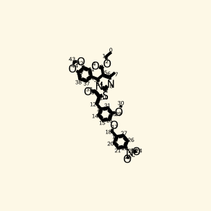 CCOC(=O)C1=C(C)N=c2s/c(=C\c3ccc(OCc4ccc([N+](=O)[O-])cc4)c(OC)c3)c(=O)n2C1c1ccc2c(c1)OCO2